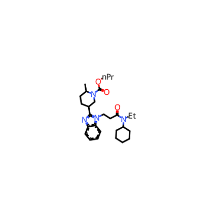 CCCOC(=O)N1CC(c2nc3ccccc3n2CCC(=O)N(CC)C2CCCCC2)CCC1C